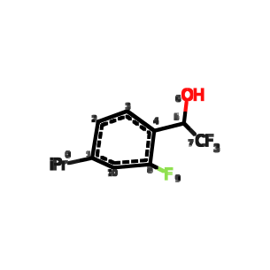 CC(C)c1ccc(C(O)C(F)(F)F)c(F)c1